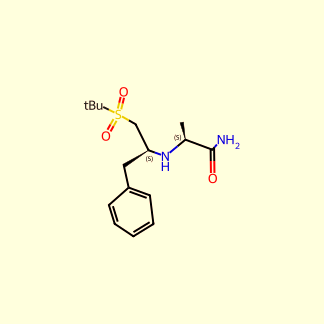 C[C@H](N[C@@H](Cc1ccccc1)CS(=O)(=O)C(C)(C)C)C(N)=O